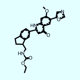 CCOC(=O)NCC1CCc2ccc(-c3cc(=O)c4cc(-c5cnco5)c(OC)cc4[nH]3)cc21